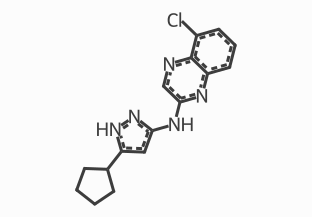 Clc1cccc2nc(Nc3cc(C4CCCC4)[nH]n3)cnc12